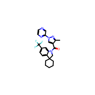 Cc1nn(-c2cnccn2)cc1C(=O)NCC1(c2ccc(C(F)(F)F)cc2)CCCCC1